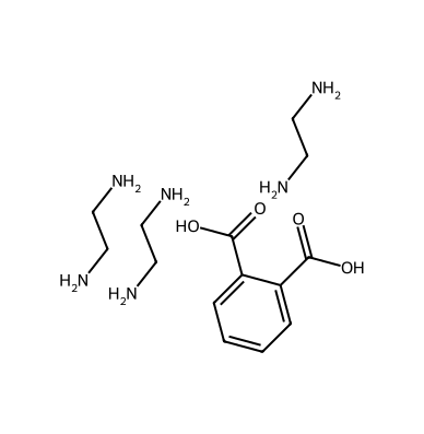 NCCN.NCCN.NCCN.O=C(O)c1ccccc1C(=O)O